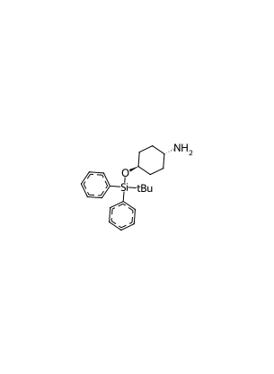 CC(C)(C)[Si](O[C@H]1CC[C@H](N)CC1)(c1ccccc1)c1ccccc1